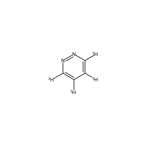 [2H]c1nnc([2H])c([2H])c1[2H]